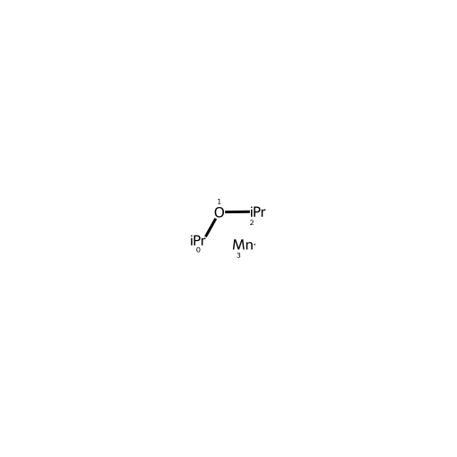 CC(C)OC(C)C.[Mn]